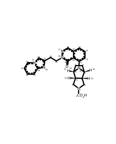 O=C(O)N1C[C@@H]2[C@H](C1)[C@@H]1CC[C@H]2N1c1cccc2cnn(CCc3cn4ccccc4n3)c(=O)c12